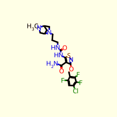 CN1CC2CC1CN2CCCNC(=O)Nc1snc(OCc2c(F)cc(Cl)c(F)c2F)c1C(N)=O